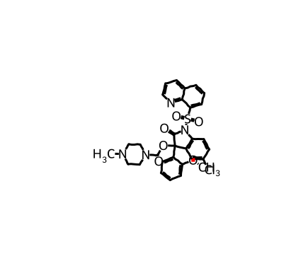 COc1ccccc1C1(OC(=O)N2CCN(C)CC2)C(=O)N(S(=O)(=O)c2cccc3cccnc23)c2ccc(Cl)cc21